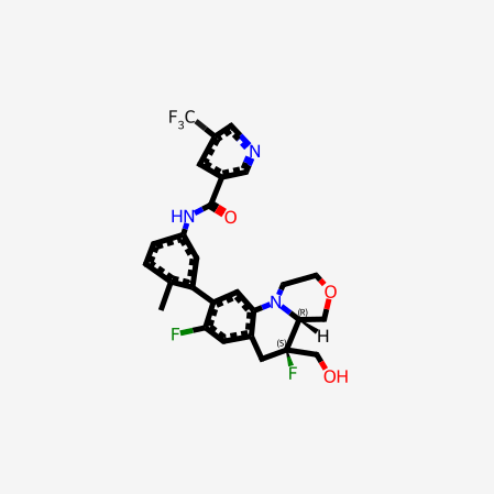 Cc1ccc(NC(=O)c2cncc(C(F)(F)F)c2)cc1-c1cc2c(cc1F)C[C@@](F)(CO)[C@H]1COCCN21